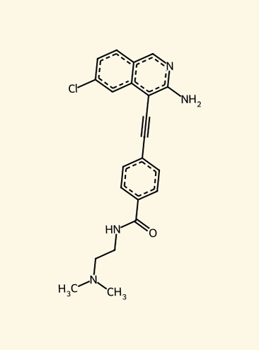 CN(C)CCNC(=O)c1ccc(C#Cc2c(N)ncc3ccc(Cl)cc23)cc1